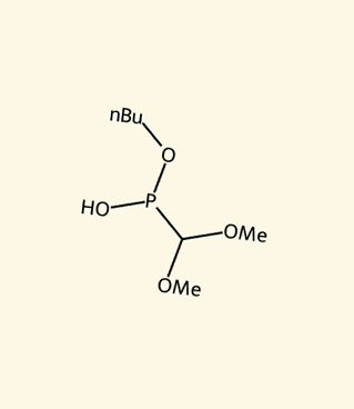 CCCCOP(O)C(OC)OC